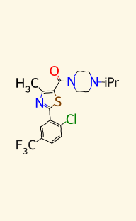 Cc1nc(-c2cc(C(F)(F)F)ccc2Cl)sc1C(=O)N1CCN(C(C)C)CC1